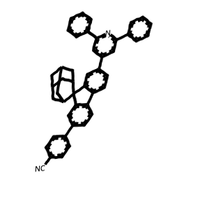 N#Cc1ccc(-c2ccc3c(c2)C2(c4cc(-c5cc(-c6ccccc6)nc(-c6ccccc6)c5)ccc4-3)C3CC4CC(C3)CC2C4)cc1